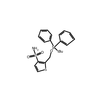 CC(C)(C)[Si](OCc1sccc1S(N)(=O)=O)(c1ccccc1)c1ccccc1